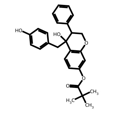 CC(C)(C)C(=O)Oc1ccc2c(c1)OCC(c1ccccc1)C2(O)Cc1ccc(O)cc1